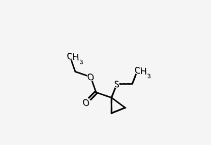 CCOC(=O)C1(SCC)CC1